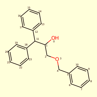 OC(COCc1ccccc1)C(c1ccccc1)c1ccccc1